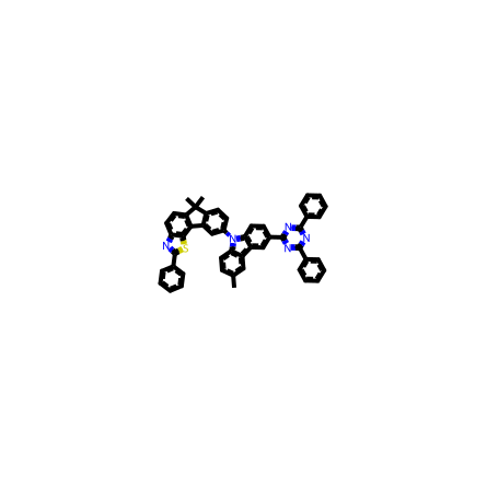 Cc1ccc2c(c1)c1cc(-c3nc(-c4ccccc4)nc(-c4ccccc4)n3)ccc1n2-c1ccc2c(c1)-c1c(ccc3nc(-c4ccccc4)sc13)C2(C)C